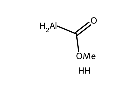 CO[C](=O)[AlH2].[HH]